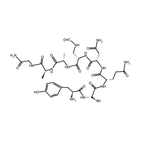 CC[C@H](C)[C@H](NC(=O)[C@@H](N)Cc1ccc(O)cc1)C(=O)N[C@@H](CCC(N)=O)C(=O)N[C@@H](CC(N)=O)C(=O)N[C@@H](CNC=O)C(=O)N[C@@H](C)C(=O)N[C@@H](C)C(=O)NCC(N)=O